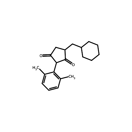 Cc1cccc(C)c1C1C(=O)CC(CC2CCCCC2)C1=O